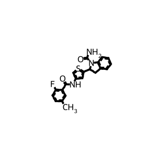 Cc1ccc(F)c(C(=O)Nc2csc(C3Cc4ccccc4N3C(N)=O)c2)c1